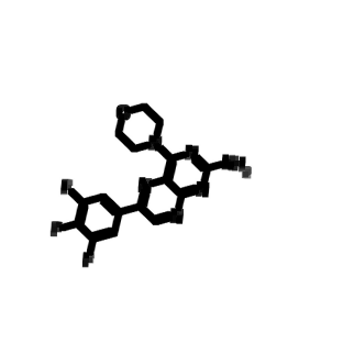 Nc1nc(N2CCOCC2)c2nc(-c3cc(F)c(F)c(F)c3)cnc2n1